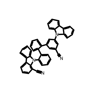 N#Cc1cc(-c2ccccc2-c2ccccc2-n2c3ccccc3c3cccc(C#N)c32)cc(-n2c3ccccc3c3ccccc32)c1